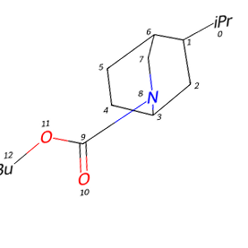 CC(C)C1CC2CCC1CN2C(=O)OC(C)(C)C